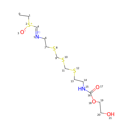 CC[S+]([O-])/C=N/CCSCSCSCCNC(=O)OCCO